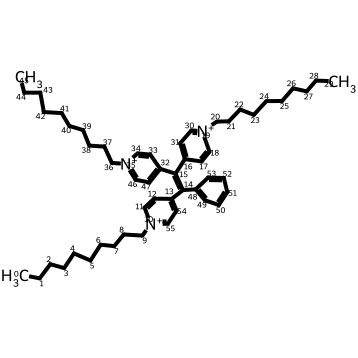 CCCCCCCCCC[n+]1ccc(C(=C(c2cc[n+](CCCCCCCCCC)cc2)c2cc[n+](CCCCCCCCCC)cc2)c2ccccc2)cc1